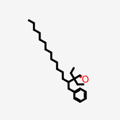 CCCCCCCCCCCCCC(Cc1ccccc1)C(C=O)(CC)CC